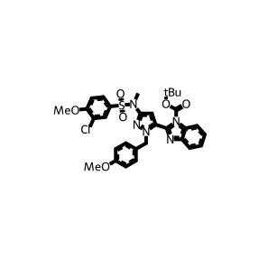 COc1ccc(Cn2nc(N(C)S(=O)(=O)c3ccc(OC)c(Cl)c3)cc2-c2nc3ccccc3n2C(=O)OC(C)(C)C)cc1